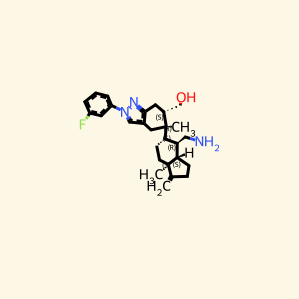 C=C1CC[C@H]2[C@H](CN)[C@@H]([C@@]3(C)Cc4cn(-c5cccc(F)c5)nc4C[C@@H]3CO)CC[C@]12C